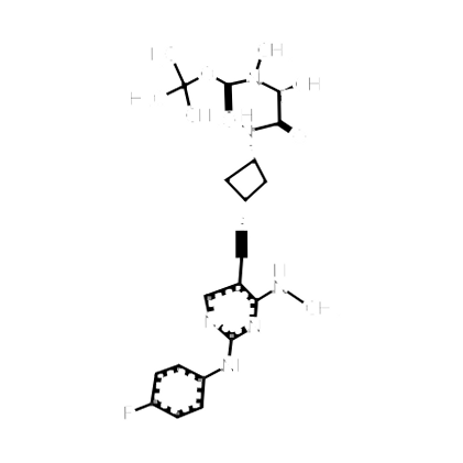 CNc1nc(Nc2ccc(F)cc2)ncc1C#C[C@H]1C[C@@H](NC(=O)[C@H](C)N(C)C(=O)OC(C)(C)C)C1